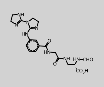 O=CN[C@@H](CNC(=O)CNC(=O)c1cccc(NC2=NCCN2C2=NCCN2)c1)C(=O)O